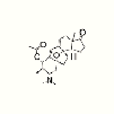 CC(=O)O[C@@H]1C2=CC3=CC[C@]4(C)C(=O)CC[C@H]4[C@@]34CC[C@]2(C[C@H](N(C)C)[C@H]1C)O4